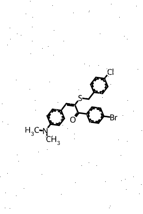 CN(C)c1ccc(/C=C(/SCc2ccc(Cl)cc2)C(=O)c2ccc(Br)cc2)cc1